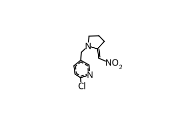 O=[N+]([O-])C=C1CCCN1Cc1ccc(Cl)nc1